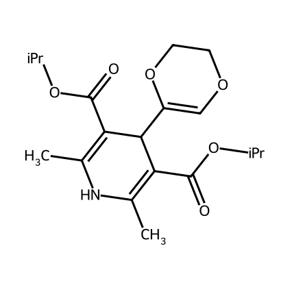 CC1=C(C(=O)OC(C)C)C(C2=COCCO2)C(C(=O)OC(C)C)=C(C)N1